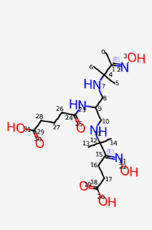 C/C(=N\O)C(C)(C)NCC(CNC(C)(C)/C(CCC(=O)O)=N/O)NC(=O)CCCC(=O)O